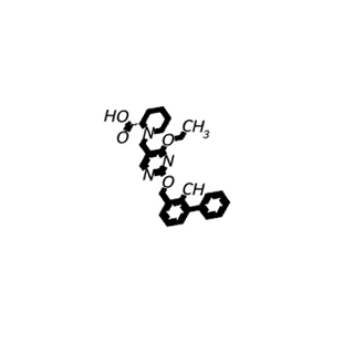 CCOc1nc(OCc2cccc(-c3ccccc3)c2C)ncc1CN1CCCC[C@H]1C(=O)O